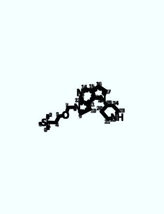 C[Si](C)(C)CCOCn1ccc2c1ncc1ccn(C3CCNCC3)c12